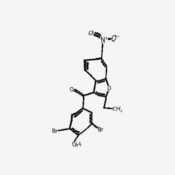 CCc1oc2cc([N+](=O)[O-])ccc2c1C(=O)c1cc(Br)c(O)c(Br)c1